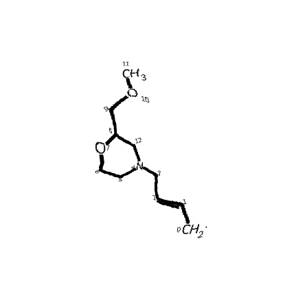 [CH2]C=CCN1CCOC(COC)C1